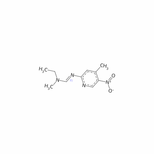 CCN(C)/C=N/c1cc(C)c([N+](=O)[O-])cn1